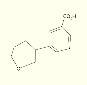 O=C(O)c1cccc(C2CCCOC2)c1